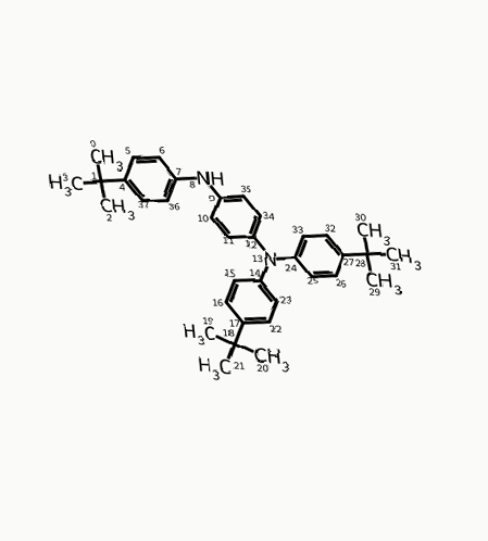 CC(C)(C)c1ccc(Nc2ccc(N(c3ccc(C(C)(C)C)cc3)c3ccc(C(C)(C)C)cc3)cc2)cc1